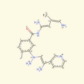 Cc1ccc(C(=O)N/C(N)=C/C(=C\N)C(F)(F)F)cc1N(N)/C=C(\N)c1cccnc1